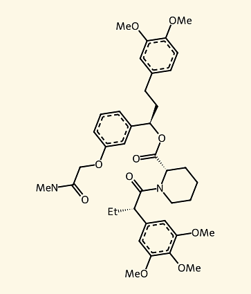 CC[C@H](C(=O)N1CCCC[C@H]1C(=O)O[C@H](CCc1ccc(OC)c(OC)c1)c1cccc(OCC(=O)NC)c1)c1cc(OC)c(OC)c(OC)c1